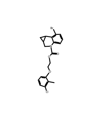 Cc1c(Cl)cccc1OCCOC(=O)N1CC2CC2c2c(Br)cccc21